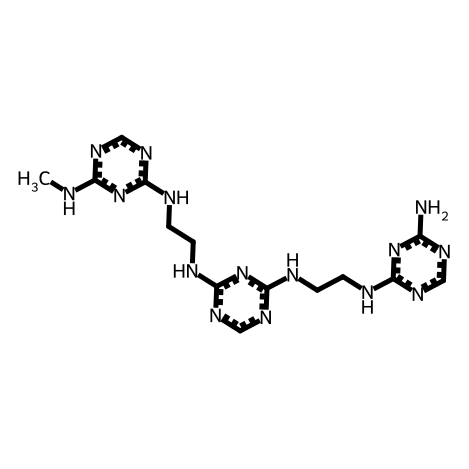 CNc1ncnc(NCCNc2ncnc(NCCNc3ncnc(N)n3)n2)n1